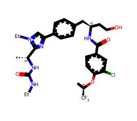 CCNC(=O)N[C@H](C)c1nc(-c2ccc(C[C@@H](CCO)NC(=O)c3ccc(O[C@H](C)C(F)(F)F)c(Cl)c3)cc2)cn1CC